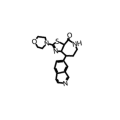 O=C1NCCC(c2ccc3ccncc3c2)C2N=C(N3CCOCC3)SC12